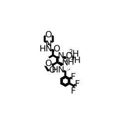 [2H]C([2H])([2H])Oc1nc(N[C@H](C)c2cccc(C(F)F)c2F)c(C2OCCO2)c(C(C)C(=O)NN2CCOCC2)n1